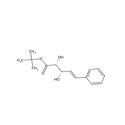 CC(C)(C)OC(=O)[C@H](O)[C@@H](O)/C=C/c1ccccc1